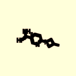 CC1CN(c2ccc(C(N)=P)cn2)C1